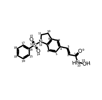 O=C(C=Cc1ccc2c(c1)CCN2S(=O)(=O)c1ccccc1)NO